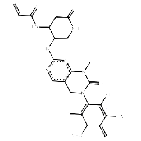 C=CC(=O)NC1CC(=O)NCC1Nc1ncc2c(n1)N(C)C(=O)N(C(=C(\Cl)COC)/C(Cl)=C(\C=C)OC)C2